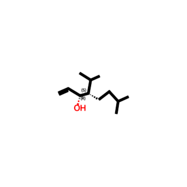 C=C[C@@H](O)[C@@H](CCC(C)C)C(C)C